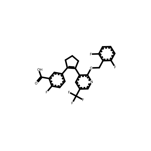 O=C(O)c1cc(C2=C(c3cc(C(F)(F)F)cnc3OCc3c(F)cccc3F)CCC2)ccc1F